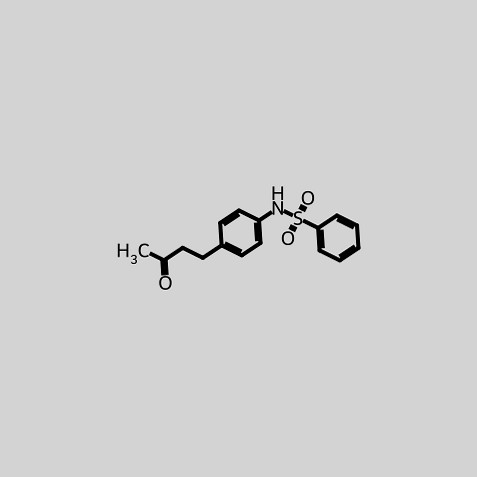 CC(=O)CCc1ccc(NS(=O)(=O)c2ccccc2)cc1